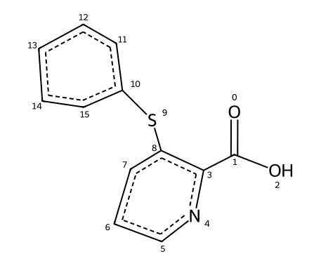 O=C(O)c1ncccc1Sc1ccccc1